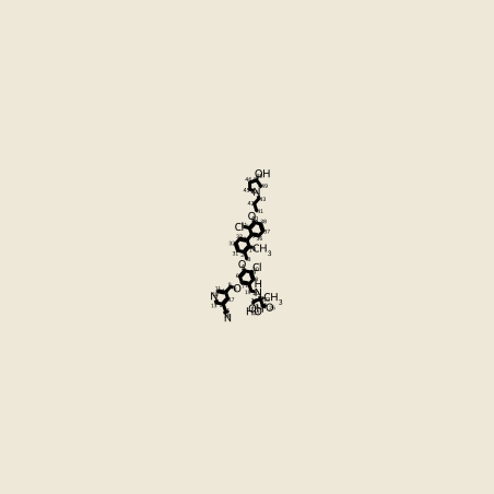 Cc1c(COc2cc(OCc3cncc(C#N)c3)c(CN[C@@](C)(CO)C(=O)O)cc2Cl)cccc1-c1cccc(OCCCN2CC[C@@H](O)C2)c1Cl